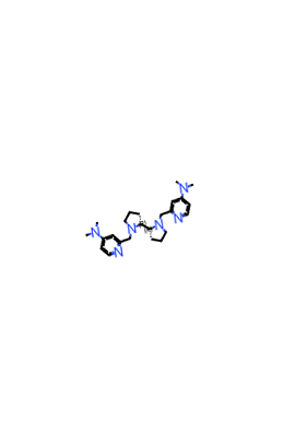 CN(C)c1ccnc(CN2CCC[C@@H]2[C@H]2CCCN2Cc2cc(N(C)C)ccn2)c1